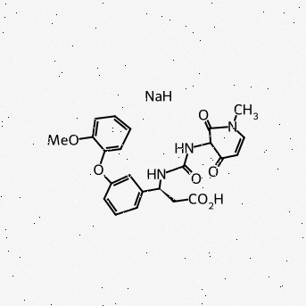 COc1ccccc1Oc1cccc([C@H](CC(=O)O)NC(=O)NC2C(=O)C=CN(C)C2=O)c1.[NaH]